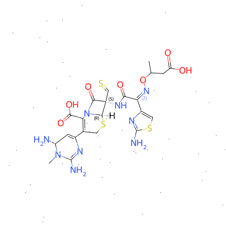 CC(CC(=O)O)O/N=C(\C(=O)N[C@@]1(C=S)C(=O)N2C(C(=O)O)=C(C3=CC(N)N(C)C(N)=N3)CS[C@@H]21)c1csc(N)n1